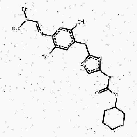 CCN(C)/C=N/c1cc(C)c(Cc2nc(NC(=O)OC3CCCCC3)cs2)cc1C